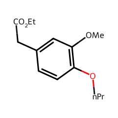 CCCOc1ccc(CC(=O)OCC)cc1OC